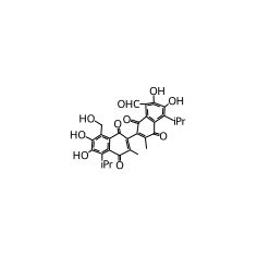 CC1=C(C2=C(C)C(=O)c3c(c(CO)c(O)c(O)c3C(C)C)C2=O)C(=O)c2c(C=O)c(O)c(O)c(C(C)C)c2C1=O